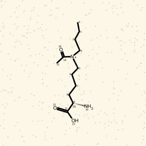 CCCCN(CCCC[C@H](N)C(=O)O)C(C)=O